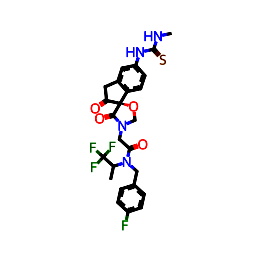 CNC(=S)Nc1ccc2c(c1)CC(=O)[C@]21OCN(CC(=O)N(Cc2ccc(F)cc2)C(C)C(F)(F)F)C1=O